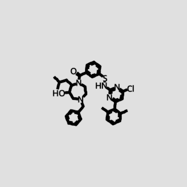 Cc1cccc(C)c1-c1cc(Cl)nc(NSc2cccc(C(=O)N3CCN(Cc4ccccc4)CC(O)C3CC(C)C)c2)n1